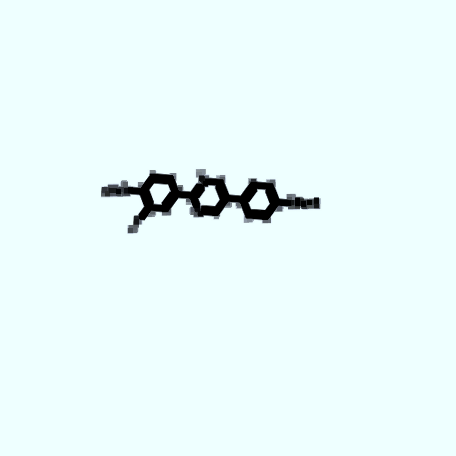 CCCCCCc1ccc(-c2ncc(-c3ccc(CCCCC)cc3)cn2)cc1F